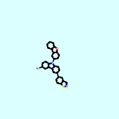 N#Cc1ccc2c(c1)c1cc(-c3ccc4sncc4c3)ccc1n2-c1ccc2oc3ccccc3c2c1